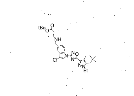 CCn1nc(-c2nc(-n3cc(Cl)c4cc(CNCCC(=O)OC(C)(C)C)ccc43)no2)c2c1CC(C)(C)CC2